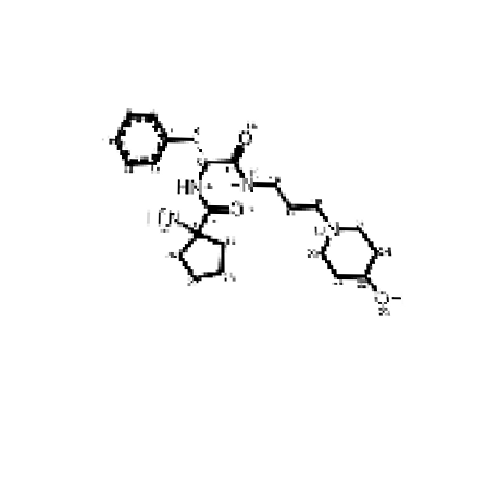 NC1(C(=O)N[C@H](Cc2ccccc2)C(=O)NCCCN2CCC(O)CC2)CCCC1